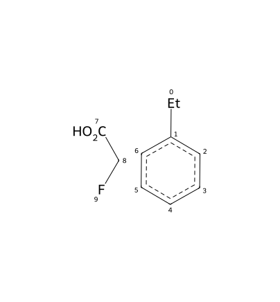 CCc1ccccc1.O=C(O)CF